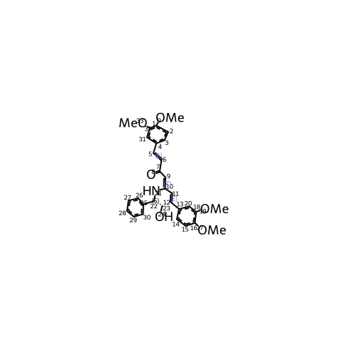 COc1ccc(/C=C/C(=O)/C=C(/C=C/c2ccc(OC)c(OC)c2)N[C@H](CO)c2ccccc2)cc1OC